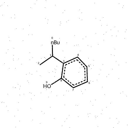 CCCCC(C)c1ccccc1O